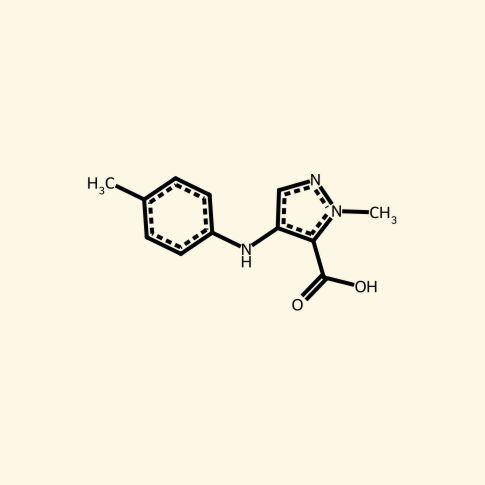 Cc1ccc(Nc2cnn(C)c2C(=O)O)cc1